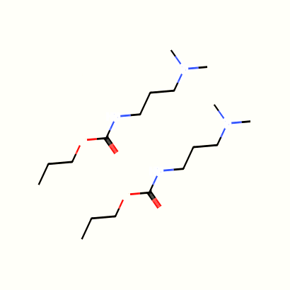 CCCOC(=O)NCCCN(C)C.CCCOC(=O)NCCCN(C)C.Cl.Cl